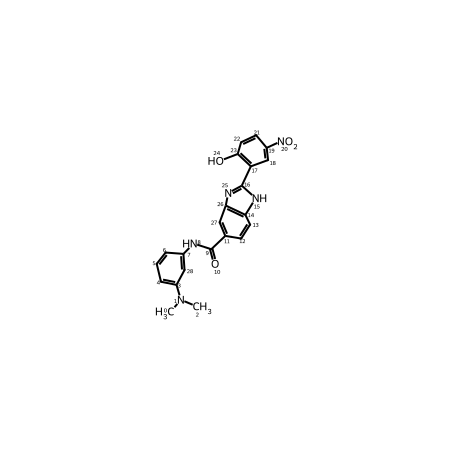 CN(C)c1cccc(NC(=O)c2ccc3[nH]c(-c4cc([N+](=O)[O-])ccc4O)nc3c2)c1